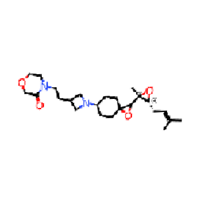 CC(C)=CC[C@H]1O[C@@]1(C)C1OC12CCC(N1CC(CCN3CCOCC3=O)C1)CC2